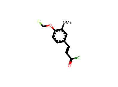 COc1cc(/C=C/C(=O)Cl)ccc1OCF